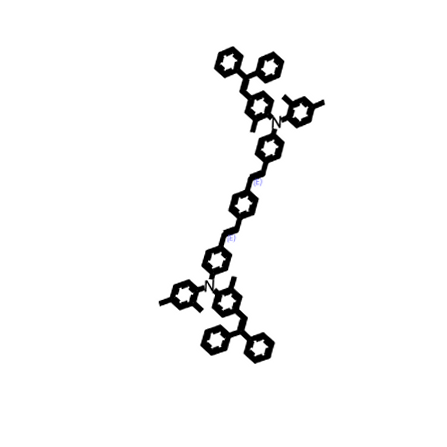 Cc1ccc(N(c2ccc(/C=C/c3ccc(/C=C/c4ccc(N(c5ccc(C)cc5C)c5ccc(C=C(c6ccccc6)c6ccccc6)cc5C)cc4)cc3)cc2)c2ccc(C=C(c3ccccc3)c3ccccc3)cc2C)c(C)c1